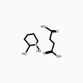 O=C(O)CCC(=O)O.OC1CCCCN1O